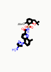 COc1ccc2c(c1S(=O)(=O)NC(=O)c1ccc3c(-n4cc(N)cn4)ccc(C)c3n1)OC(C)(C)C2